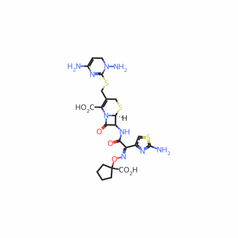 NC1=CCN(N)C(SCC2=C(C(=O)O)N3C(=O)C(NC(=O)/C(=N\OC4(C(=O)O)CCCC4)c4csc(N)n4)[C@@H]3SC2)=N1